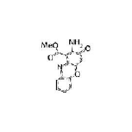 COC(=O)c1c2nc3ccccc3oc-2cc(=O)c1N